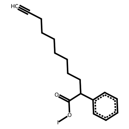 C#CCCCCCCCC(C(=O)OI)c1ccccc1